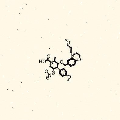 COCCCN1CCOc2ccc(CO[C@H]3C(C)N(C(=O)O)C[C@@H](O[N+](=O)[O-])[C@@H]3c3ccc(OC)cc3)cc21